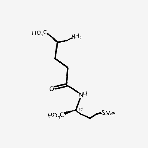 CSC[C@H](NC(=O)CCC(N)C(=O)O)C(=O)O